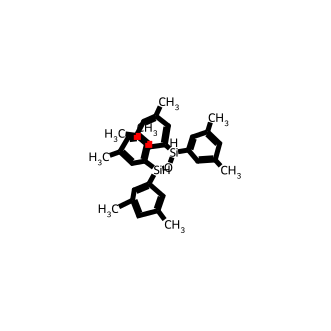 Cc1cc(C)cc([SiH](O[SiH](c2cc(C)cc(C)c2)c2cc(C)cc(C)c2)c2cc(C)cc(C)c2)c1